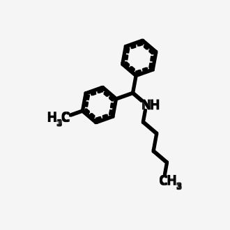 CCCCCNC(c1ccccc1)c1ccc(C)cc1